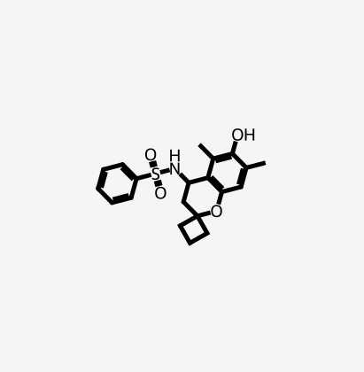 Cc1cc2c(c(C)c1O)C(NS(=O)(=O)c1ccccc1)CC1(CCC1)O2